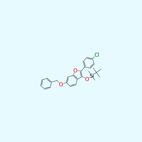 CC(C)(C)[Si](C)(C)Oc1c(-c2ccc(Cl)cc2)oc2cc(OCc3ccccc3)ccc12